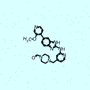 COc1cnccc1-c1ccc2nc(Nc3cc(CN4CCN(C=O)CC4)ccn3)[nH]c2c1